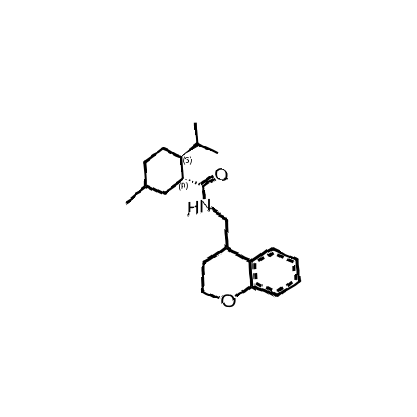 CC1CC[C@@H](C(C)C)[C@H](C(=O)NCC2CCOc3ccccc32)C1